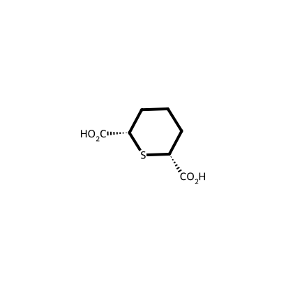 O=C(O)[C@@H]1CCC[C@H](C(=O)O)S1